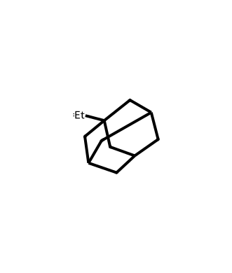 C[C]C12CC3CC(CC(C3)C1)C2